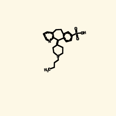 CCCCN1CCC(=C2c3ccc(S(=O)(=O)O)cc3CCc3cccnc32)CC1